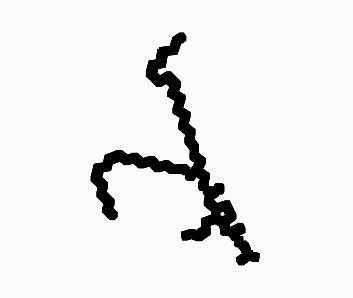 C=C(CCN(C)C)OC1CCC(CC(=O)OCC(CCCCCCCCCC/C=C\C/C=C\C=C\CCC)OCCCCCCCC/C=C\C/C=C\CCCCC)C1C/C=C\CC